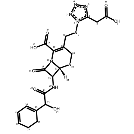 O=C(O)Cc1nnnn1SCC1=C(C(=O)O)N2C(=O)C(NC(=O)C(O)C3=CC=CCC3)[C@H]2SC1